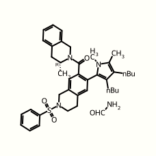 CCCCc1c(CCCC)c(-c2cc3c(cc2C(=O)N2Cc4ccccc4C[C@H]2C)CN(S(=O)(=O)c2ccccc2)CC3)n(C)c1C.NC=O